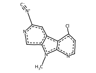 [C-]#[N+]c1cc2c3c(Cl)ccnc3n(C)c2cn1